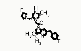 C[C@@H]1CN(CC(=O)N2CC(C)(C)c3ncc(Cc4ccc(F)cc4)cc32)[C@@H](CN2CC[C@@H](F)C2)CN1